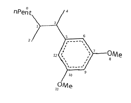 CCCCCC(C)C(C)c1cc(OC)cc(OC)c1